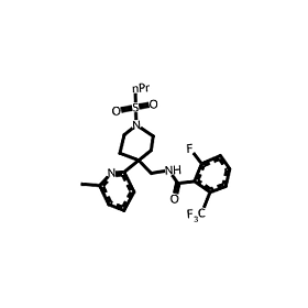 CCCS(=O)(=O)N1CCC(CNC(=O)c2c(F)cccc2C(F)(F)F)(c2cccc(C)n2)CC1